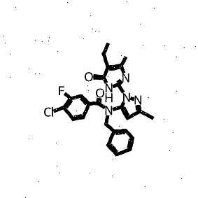 CCc1c(C)nc(-n2nc(C)cc2N(Cc2ccccc2)C(=O)c2ccc(Cl)c(F)c2)[nH]c1=O